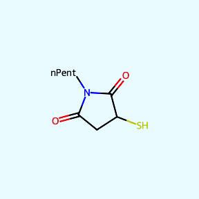 CCCCCN1C(=O)CC(S)C1=O